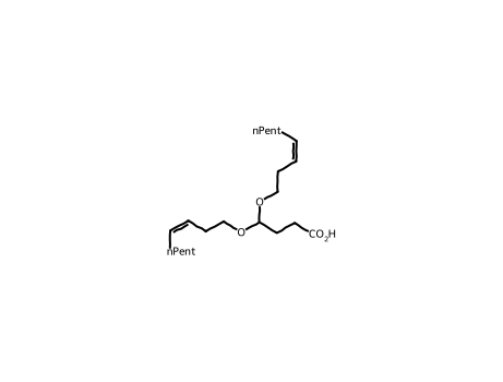 CCCCC/C=C\CCOC(CCC(=O)O)OCC/C=C\CCCCC